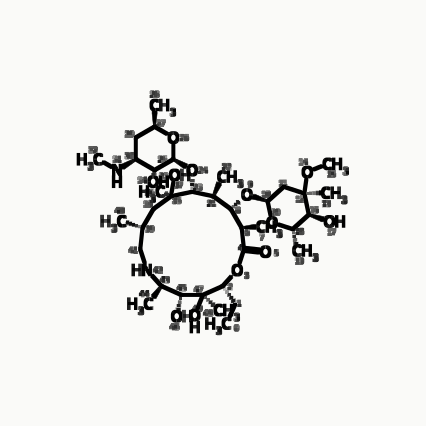 CC[C@H]1OC(=O)[C@H](C)[C@@H](O[C@H]2C[C@@](C)(OC)[C@@H](O)[C@H](C)O2)[C@H](C)[C@@H](O[C@@H]2O[C@H](C)C[C@H](NC)[C@H]2O)[C@](C)(O)C[C@@H](C)CN[C@H](C)[C@@H](O)[C@]1(C)O